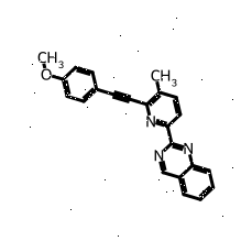 COc1ccc(C#Cc2nc(-c3ncc4ccccc4n3)ccc2C)cc1